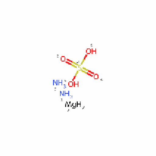 N.N.O=S(=O)(O)O.[MgH2]